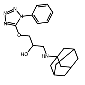 OC(CNC12CC3CC(CC(C3)C1)C2)COc1nnnn1-c1ccccc1